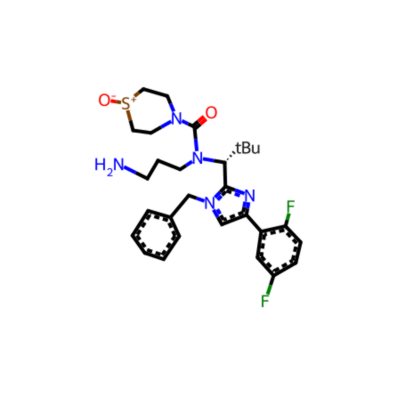 CC(C)(C)[C@H](c1nc(-c2cc(F)ccc2F)cn1Cc1ccccc1)N(CCCN)C(=O)N1CC[S+]([O-])CC1